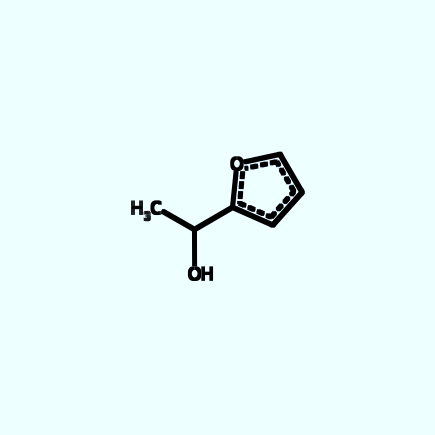 CC(O)c1ccco1